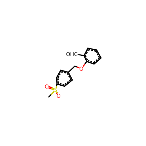 CS(=O)(=O)c1ccc(COc2ccccc2C=O)cc1